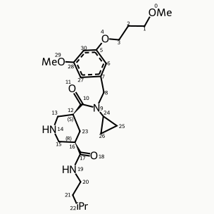 COCCCOc1cc(CN(C(=O)[C@@H]2CNC[C@H](C(=O)NCCC(C)C)C2)C2CC2)cc(OC)c1